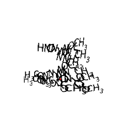 CCCC(C)Oc1nc(N(Cc2ccc(OC)cc2OC)Cc2ccc(OC)cc2OC)c2ncc(CN3CCN(C(=O)OC(C)(C)C)CC3)n2n1.CCCC(C)Oc1nc(N)c2ncc(CN3CCNCC3)n2n1